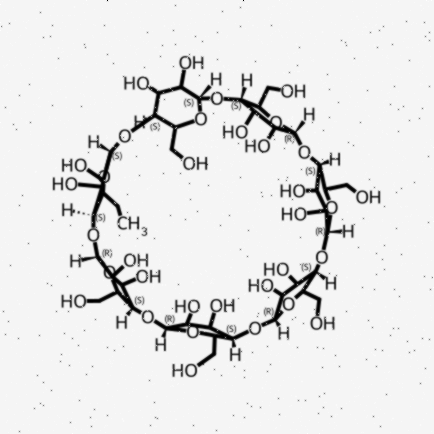 CCC1O[C@H]2O[C@@H]3C(CO)O[C@@H](O[C@@H]4C(CO)O[C@H](O[C@@H]5C(CO)O[C@H](O[C@@H]6C(CO)O[C@H](O[C@@H]7C(CO)O[C@H](O[C@@H]8C(CO)O[C@H](O[C@H]1C(O)C2O)C(O)C8O)C(O)C7O)C(O)C6O)C(O)C5O)C(O)C4O)C(O)C3O